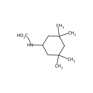 CC1(C)CC(NC(=O)O)CC(C)(C)C1